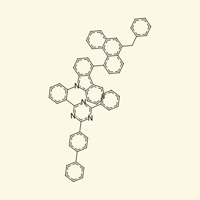 c1ccc(Cc2cc3ccccc3c3c(-c4cccc5c4c4ccccc4n5-c4ccccc4-c4nc(-c5ccccc5)nc(-c5ccc(-c6ccccc6)cc5)n4)cccc23)cc1